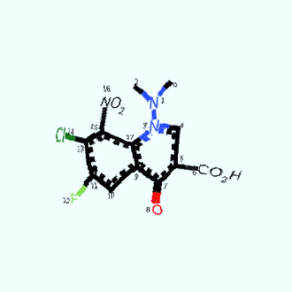 CN(C)n1cc(C(=O)O)c(=O)c2cc(F)c(Cl)c([N+](=O)[O-])c21